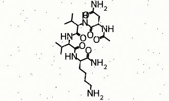 CC(=O)N[C@H](CC(N)=O)C(=O)N[C@@H](C(=O)N[C@@H](C(=O)N[C@H](CCCCN)C(N)=O)C(C)C)C(C)C